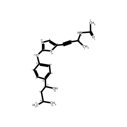 CC(=O)NC(C)C#Cc1cnc(Oc2ccc(C(O)CC(C)C)cc2)s1